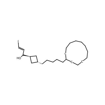 OC(C=CI)[C@H]1C[C@H](CCCCCC2CCCCCCCCCCC2)C1